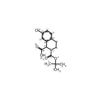 CC(C)(C)OC(=O)N1CCc2ccc(Cl)cc2C1C(=O)O